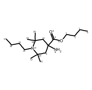 CCCCOC(=O)C1(N)CC(C)(C)N(CCCC)C(C)(C)C1